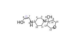 CC1(N2CCC(N/C=C\O)CC2)CCOCC1